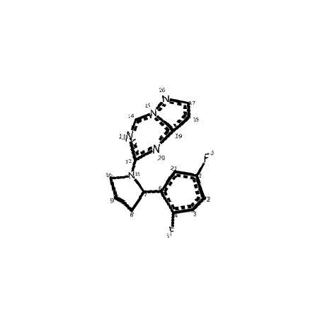 Fc1ccc(F)c(C2CCCN2c2ncn3nccc3n2)c1